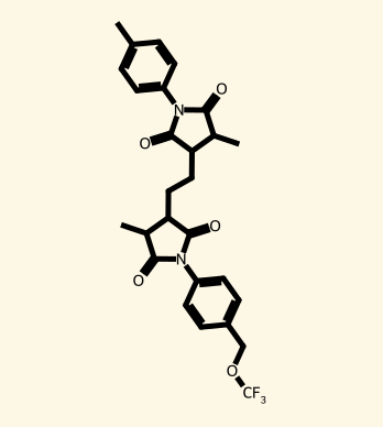 Cc1ccc(N2C(=O)C(C)C(CCC3C(=O)N(c4ccc(COC(F)(F)F)cc4)C(=O)C3C)C2=O)cc1